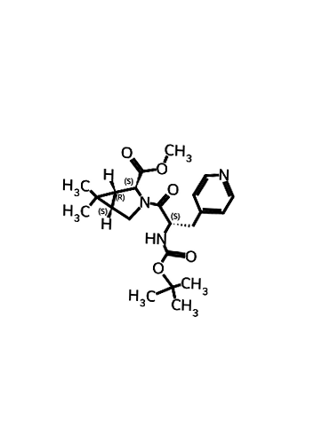 COC(=O)[C@@H]1[C@@H]2[C@H](CN1C(=O)[C@H](Cc1ccncc1)NC(=O)OC(C)(C)C)C2(C)C